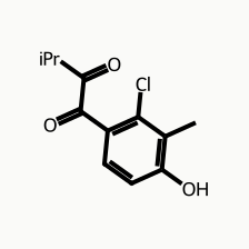 Cc1c(O)ccc(C(=O)C(=O)C(C)C)c1Cl